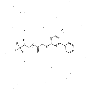 O=C(CSc1nccc(-c2ccccn2)n1)OCC(F)C(F)(F)F